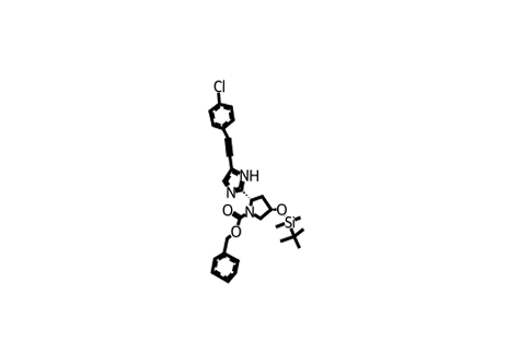 CC(C)(C)[Si](C)(C)O[C@@H]1C[C@@H](c2ncc(C#Cc3ccc(Cl)cc3)[nH]2)N(C(=O)OCc2ccccc2)C1